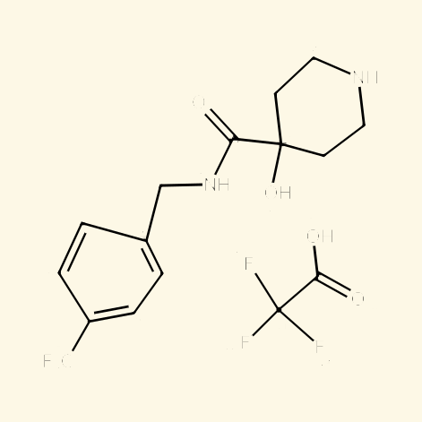 O=C(NCc1ccc(C(F)(F)F)cc1)C1(O)CCNCC1.O=C(O)C(F)(F)F